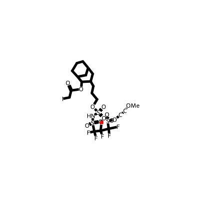 COCCOS(=O)(=O)C(F)(F)C(F)(F)C(F)(F)S(=O)(=O)NS(=O)(=O)OCCCC1CC2CCCC(C2)C1OC(=O)CI